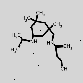 C=C(CCC)NCC1(C)CC(NC(C)C)CC(C)(C)C1